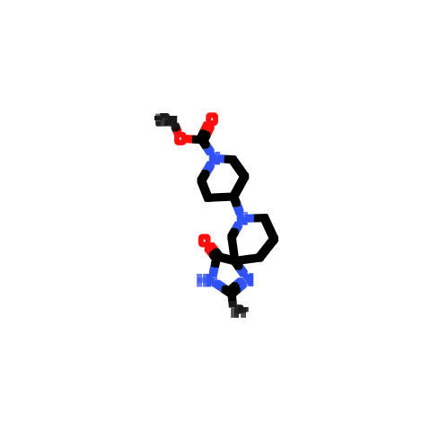 CC(C)C1=NC2(CCCN(C3CCN(C(=O)OC(C)(C)C)CC3)C2)C(=O)N1